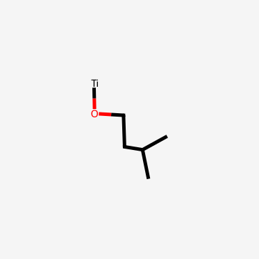 CC(C)CC[O][Ti]